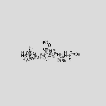 CC(C)(C)OC(=O)N[C@H](C(=O)N[C@H]1CN(C(=O)OC(C)(C)C)[C@@](CCCCB2OC(C)(C)C(C)(C)O2)(C(=O)O)C1)C(C)(C)C